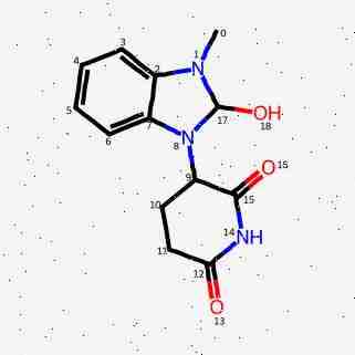 CN1c2ccccc2N(C2CCC(=O)NC2=O)C1O